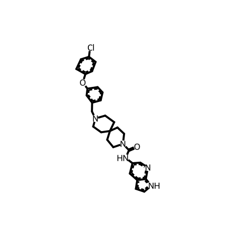 O=C(Nc1cnc2[nH]ccc2c1)N1CCC2(CCN(Cc3cccc(Oc4ccc(Cl)cc4)c3)CC2)CC1